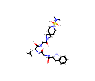 CC(C)C[C@@H](NC(=O)CNC(=O)[C@H](N)Cc1ccccc1)C(=O)NCC(=O)N1CC2(CCN(S(=O)(=O)N(C)C)CC2)C1